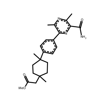 COC(=O)CC1(C)CCC(C)(c2ccc(-c3nc(C(N)=O)c(C)nc3C)cc2)CC1